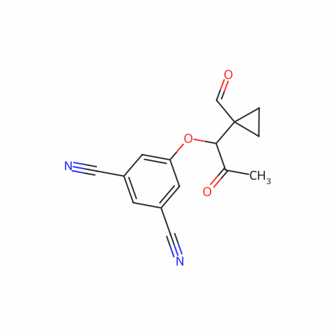 CC(=O)C(Oc1cc(C#N)cc(C#N)c1)C1(C=O)CC1